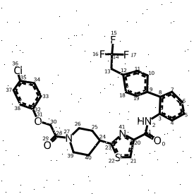 O=C(Nc1ccccc1-c1ccc(CC(F)(F)F)cc1)c1csc(C2CCN(C(=O)COc3ccc(Cl)cc3)CC2)n1